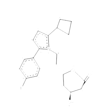 O=C1C[C@@H](O)C[C@H](CCn2c(-c3ccc(F)cc3)ccc2C2CCC2)O1